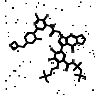 C[C@H]1CN(CC2COC2)CCN1c1cc(NC(=O)Cn2cc(-c3cc(C(=O)NC(C)(C)CC(C)(C)C)c(OCCS(C)(C)C)c(F)c3F)c3c(=O)n4c(nc32)CCC4)c(Cl)c(F)n1